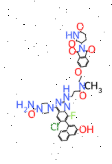 CN(CCOc1ccc2c(c1)C(=O)N(C1CCC(=O)NC1=O)C2=O)C(=O)CCNc1nc(N2CCN(C(N)=O)CC2)c2cc(Cl)c(-c3cc(O)cc4ccccc34)c(F)c2n1